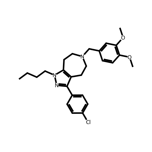 CCCCn1nc(-c2ccc(Cl)cc2)c2c1CCN(Cc1ccc(OC)c(OC)c1)CC2